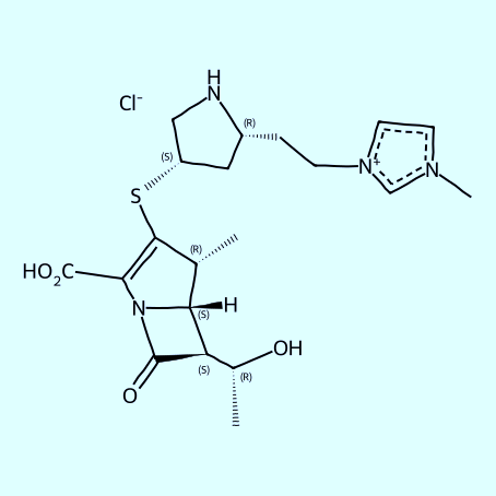 C[C@@H](O)[C@H]1C(=O)N2C(C(=O)O)=C(S[C@@H]3CN[C@H](CC[n+]4ccn(C)c4)C3)[C@H](C)[C@H]12.[Cl-]